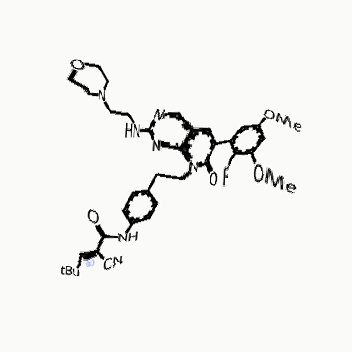 COc1cc(OC)c(F)c(-c2cc3cnc(NCCN4CCOCC4)nc3n(CCc3ccc(NC(=O)/C(C#N)=C/C(C)(C)C)cc3)c2=O)c1